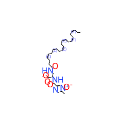 CC/C=C\C/C=C\C/C=C\C/C=C\C/C=C\C/C=C\CCC(=O)NCC(NC(=O)c1c[n+]([O-])c(C)cn1)C(=O)OC